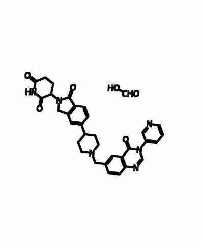 O=C1CCC(N2Cc3cc(C4CCN(Cc5ccc6ncn(-c7cccnc7)c(=O)c6c5)CC4)ccc3C2=O)C(=O)N1.O=CO